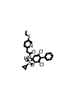 CCSc1ccc(CC(=O)NC2(S(=O)(=O)C3CC3)C=C(Cl)C(c3ccccc3)=C(Cl)C2)nc1